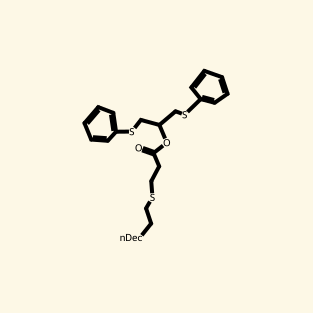 CCCCCCCCCCCCSCCC(=O)OC(CSc1ccccc1)CSc1ccccc1